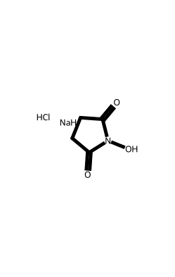 Cl.O=C1CCC(=O)N1O.[NaH]